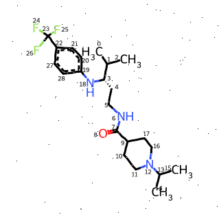 CC(C)[C@H](CCNC(=O)C1CCN(C(C)C)CC1)Nc1ccc(C(F)(F)F)cc1